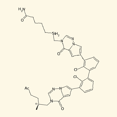 CC(=O)CC[C@H](C)Cn1cnn2cc(-c3cccc(-c4cccc(-c5cc6c(=O)n(C[SiH2]CCCCC(N)=O)cnn6c5)c4Cl)c3Cl)cc2c1=O